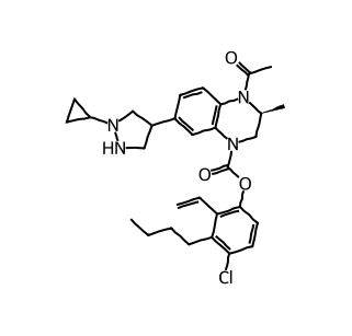 C=Cc1c(OC(=O)N2C[C@H](C)N(C(C)=O)c3ccc(C4CNN(C5CC5)C4)cc32)ccc(Cl)c1CCCC